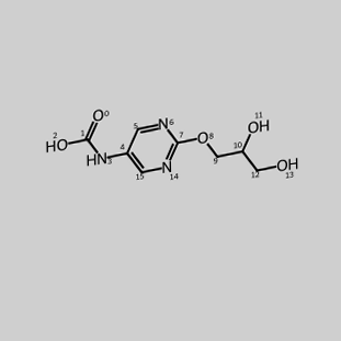 O=C(O)Nc1cnc(OCC(O)CO)nc1